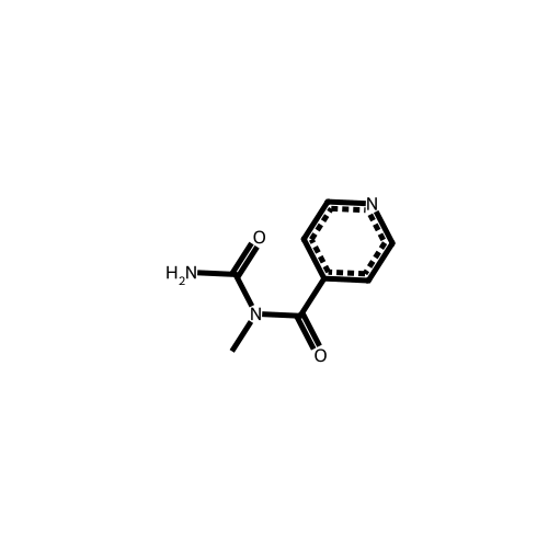 CN(C(N)=O)C(=O)c1ccncc1